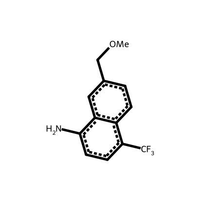 COCc1ccc2c(C(F)(F)F)ccc(N)c2c1